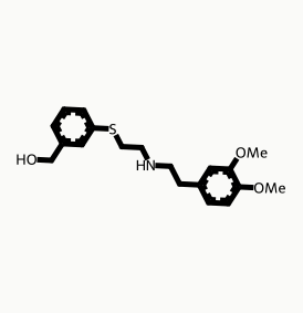 COc1ccc(CCNCCSc2cccc(CO)c2)cc1OC